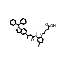 CC(=CC(=O)Nc1cc(F)ccc1OCCCC(=O)O)c1ccc2c(ccn2C(c2ccccc2)c2ccccc2)c1